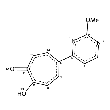 COc1nccc(-c2ccc(O)c(=O)cc2)n1